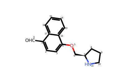 O=Cc1ccc(OC[C@H]2CCCN2)c2ccccc12